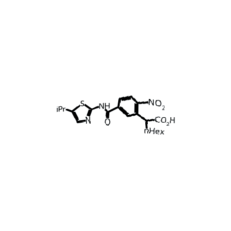 CCCCCCC(C(=O)O)c1cc(C(=O)Nc2ncc(C(C)C)s2)ccc1[N+](=O)[O-]